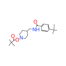 CC(C)(C)C(=O)ON1CCC(CNC(=O)c2ccc(C(C)(C)C)cc2)CC1